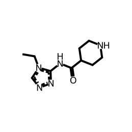 CCn1cnnc1NC(=O)C1CCNCC1